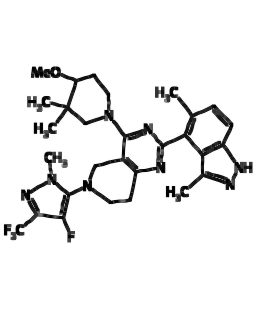 COC1CCN(c2nc(-c3c(C)ccc4[nH]nc(C)c34)nc3c2CN(c2c(F)c(C(F)(F)F)nn2C)CC3)CC1(C)C